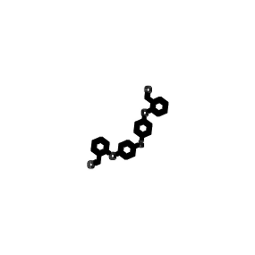 O=Cc1ccccc1Oc1ccc(Sc2ccc(Oc3ccccc3C=O)cc2)cc1